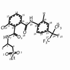 CCS(=O)(=O)CC(C)NC(=O)c1c(Cl)cccc1C(=O)Nc1ccc(C(F)(C(F)(F)F)C(F)(F)F)cc1C